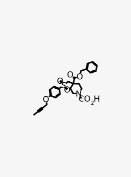 CC#CCOc1ccc(S(=O)(=O)CC2(C(=O)OCc3ccccc3)CCN(C(=O)O)CC2)cc1